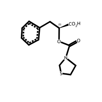 O=C(O)[C@H](Cc1ccccc1)OC(=O)N1CCSC1